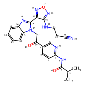 CC(C)C(=O)Nc1ccc(C(=O)Cn2c(-c3nonc3NCCC#N)nc3ccccc32)cn1